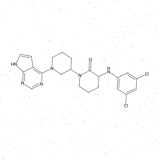 O=C1C(Nc2cc(Cl)cc(Cl)c2)CCCN1C1CCCN(c2ncnc3[nH]ccc23)C1